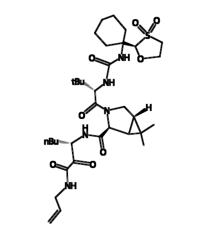 C=CCNC(=O)C(=O)[C@H](CCCC)NC(=O)[C@@H]1C2[C@H](CN1C(=O)[C@@H](NC(=O)NC1([C@@H]3OCCS3(=O)=O)CCCCC1)C(C)(C)C)C2(C)C